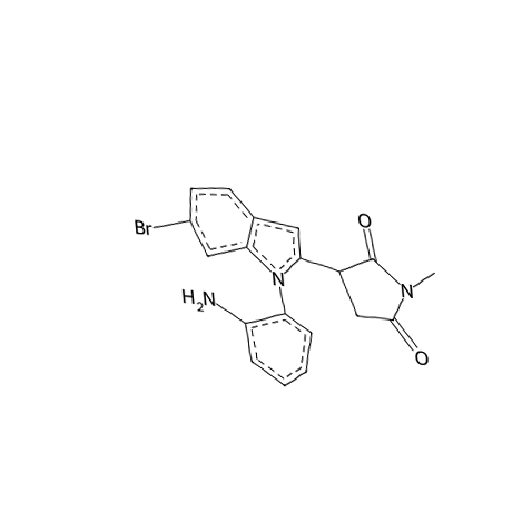 CN1C(=O)CC(c2cc3ccc(Br)cc3n2-c2ccccc2N)C1=O